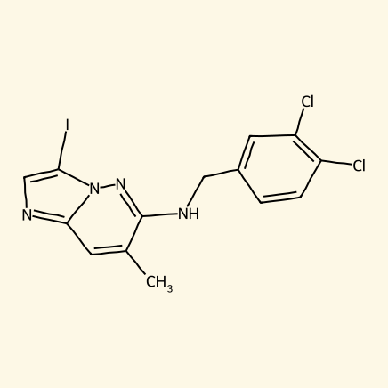 Cc1cc2ncc(I)n2nc1NCc1ccc(Cl)c(Cl)c1